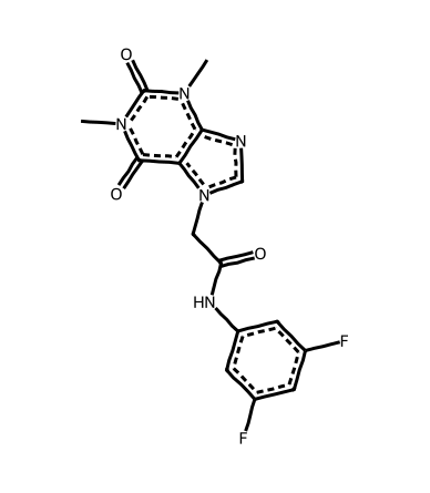 Cn1c(=O)c2c(ncn2CC(=O)Nc2cc(F)cc(F)c2)n(C)c1=O